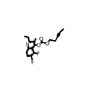 CC#CCCOC(=O)Oc1c(C)c(CC)nc2ccc(F)c(F)c12